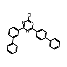 Clc1nc(-c2ccc(-c3ccccc3)cc2)nc(-c2cccc(-c3ccccc3)c2)n1